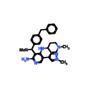 CNC(c1ccc(Cc2ccccc2)cc1)c1c(N)ncc(-c2cnn(C)c2)c1NC1CCN(C)CC1